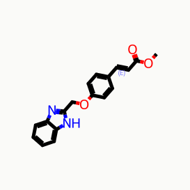 COC(=O)/C=C/c1ccc(OCc2nc3ccccc3[nH]2)cc1